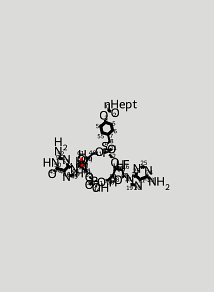 CCCCCCCC(=O)Oc1ccc(CSP2(=O)CO[C@H]3[C@@H](F)[C@H](n4cnc5c(N)ncnc54)O[C@@H]3COP(=O)(O)O[C@@H]3[C@H](F)[C@@H](CO2)O[C@H]3n2cnc3c(=O)[nH]c(N)nc32)cc1